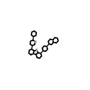 c1ccc(-c2ccc(-c3cccc4c3sc3c(-c5ccc(-c6ccc7ccccc7c6)cc5)cccc34)cn2)cc1